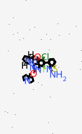 Nc1nc2c(-c3c(Cl)c4c5c(nc(OCC67CCCN6CCC7)nc5c3F)N3C[C@@H]5CC[C@@H](N5)[C@@H]3CO4)cccc2s1